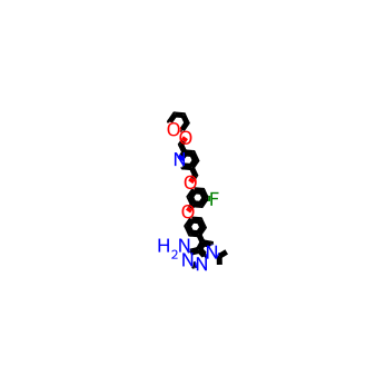 CC(C)n1cc(-c2ccc(Oc3cc(F)cc(OCc4ccc(COC5CCCCO5)nc4)c3)cc2)c2c(N)ncnc21